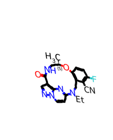 CCN1Cc2c(ccc(F)c2C#N)O[C@@H](C)CNC(=O)c2cnn3ccc1nc23